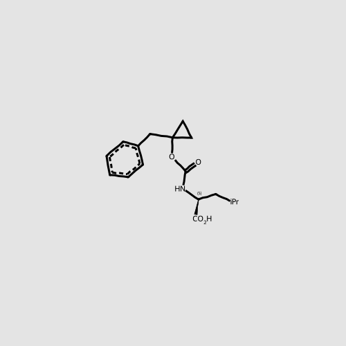 CC(C)C[C@H](NC(=O)OC1(Cc2ccccc2)CC1)C(=O)O